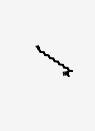 [C]#CCCCCCCCCCCCCC(C)NC